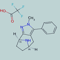 Cn1nc2c(c1-c1ccccc1)C[C@H]1CC[C@@H]2N1.O=C(O)C(F)(F)F